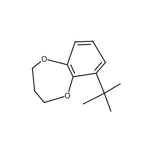 CC(C)(C)c1cccc2c1OCCCO2